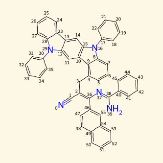 N#C/C(Cc1cccc2c1c1cc3c(cc1n2-c1ccccc1)c1ccccc1n3-c1ccccc1)=C(/N=C(\N)c1ccccc1)c1ccc2ccccc2c1